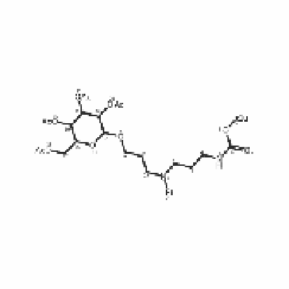 CCN(CCCNC(=O)OC(C)(C)C)CCCOC1OC(COC(C)=O)C(OC(C)=O)C(OC(C)=O)C1OC(C)=O